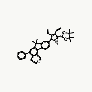 C=Cc1c(C=C)c(-c2ccc3c(c2)C(C)(C)c2cc(-c4ccccc4)c4ccccc4c2-3)n(C)c1B1OC(C)(C)C(C)(C)O1